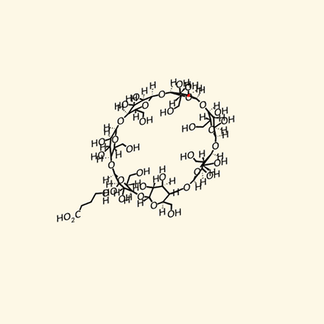 O=C(O)CCCO.OC[C@H]1O[C@@H]2O[C@H]3[C@H](O)[C@@H](O)[C@@H](O[C@H]4[C@H](O)[C@@H](O)[C@@H](O[C@H]5[C@H](O)[C@@H](O)[C@@H](O[C@H]6[C@H](O)[C@@H](O)[C@@H](O[C@H]7[C@H](O)[C@@H](O)[C@@H](O[C@H]8[C@H](O)[C@@H](O)[C@@H](O[C@H]1[C@H](O)[C@H]2O)O[C@@H]8CO)O[C@@H]7CO)O[C@@H]6CO)O[C@@H]5CO)O[C@@H]4CO)O[C@@H]3CO